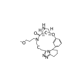 COCCCN1CCCc2nnc3n2C(CCC3)c2cccc(c2)O[C@@H]2CN[C@@H](C2)C1=O